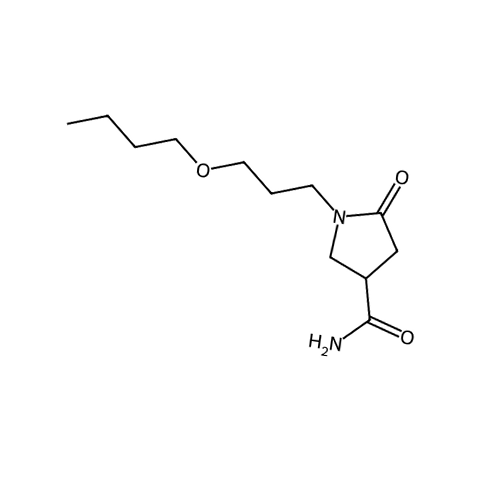 CCCCOCCCN1CC(C(N)=O)CC1=O